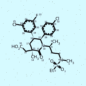 CCS(=O)(=O)N(C)CC[C@H](C)N1C(=O)[C@@](C)(CC(=O)O)C[C@H](c2cc(F)cc(Cl)c2)[C@H]1c1ccc(Cl)cc1